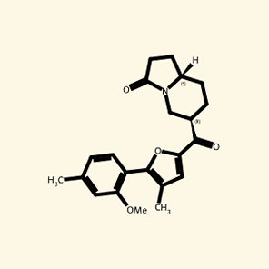 COc1cc(C)ccc1-c1oc(C(=O)[C@@H]2CC[C@H]3CCC(=O)N3C2)cc1C